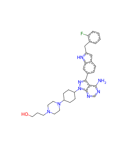 Nc1ncnc2c1c(-c1ccc3cc(Cc4ccccc4F)[nH]c3c1)nn2C1CCC(N2CCN(CCCO)CC2)CC1